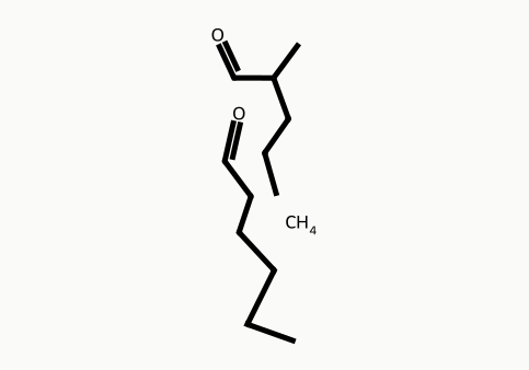 C.CCCC(C)C=O.CCCCCC=O